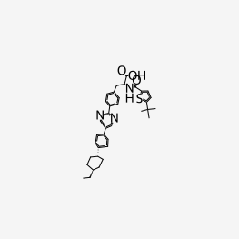 CC[C@H]1CC[C@H](c2ccc(-c3cnc(-c4ccc(C[C@H](NC(=O)c5ccc(C(C)(C)C)s5)C(=O)O)cc4)nc3)cc2)CC1